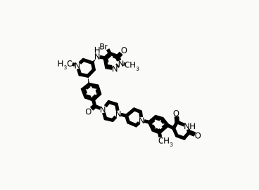 Cc1cc(N2CCC(N3CCN(C(=O)c4ccc([C@H]5C[C@@H](Nc6cnn(C)c(=O)c6Br)CN(C)C5)cc4)CC3)CC2)ccc1C1CCC(=O)NC1=O